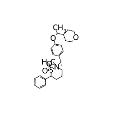 CC(Oc1ccc(C[N+]2(C)CCCC(c3ccccc3)S2(=O)=O)cc1)C1CCOCC1